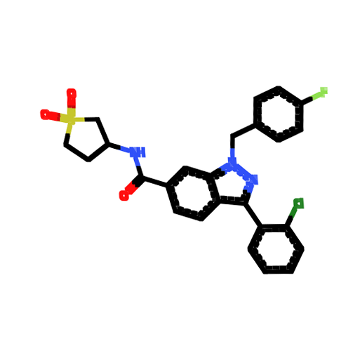 O=C(NC1CCS(=O)(=O)C1)c1ccc2c(-c3ccccc3Cl)nn(Cc3ccc(F)cc3)c2c1